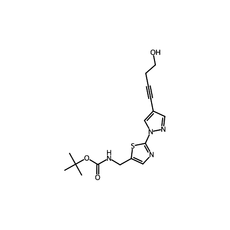 CC(C)(C)OC(=O)NCc1cnc(-n2cc(C#CCCO)cn2)s1